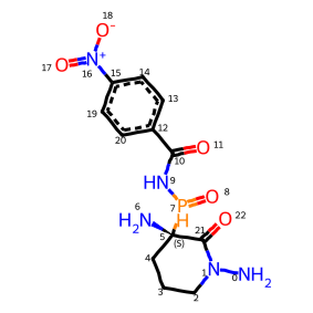 NN1CCC[C@](N)([PH](=O)NC(=O)c2ccc([N+](=O)[O-])cc2)C1=O